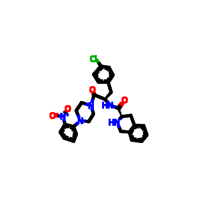 O=C(N[C@H](Cc1ccc(Cl)cc1)C(=O)N1CCN(c2ccccc2[N+](=O)[O-])CC1)[C@@H]1Cc2ccccc2CN1